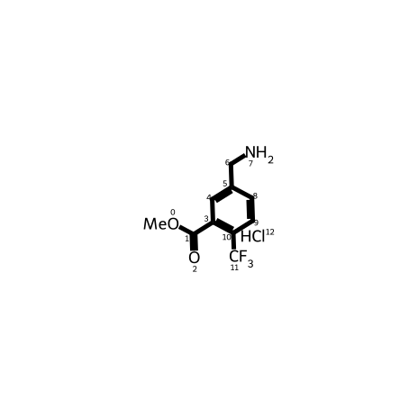 COC(=O)c1cc(CN)ccc1C(F)(F)F.Cl